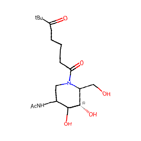 CC(=O)NC1CN(C(=O)CCCC(=O)C(C)(C)C)C(CO)[C@H](O)C1O